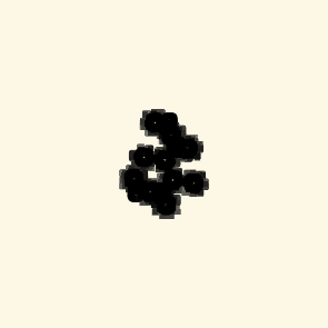 c1ccc(-c2cc(-c3cc(-c4ccccc4)cc(-n4c5ccccc5c5cc6oc7ccccc7c6cc54)c3)cc(-n3c4ccccc4c4cc5oc6ccccc6c5cc43)c2)cc1